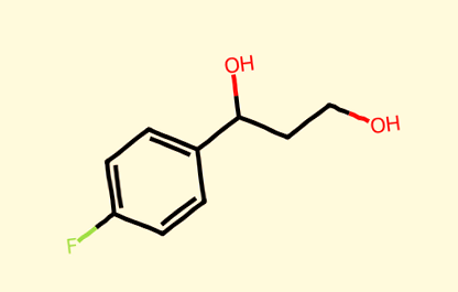 OCCC(O)c1ccc(F)cc1